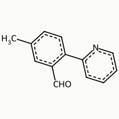 Cc1ccc(-c2ccccn2)c(C=O)c1